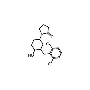 O=C1CCCN1C1CCC(O)C(Cc2c(Cl)cccc2Cl)C1